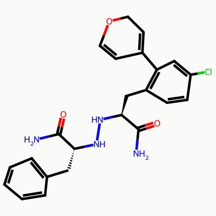 NC(=O)[C@H](Cc1ccc(Cl)cc1C1=CCOC=C1)NN[C@H](Cc1ccccc1)C(N)=O